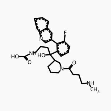 CNCCCC(=O)N1CCCC(C(O)(CCCNC(=O)O)c2cccc(F)c2-c2cnc3ccccc3c2)C1